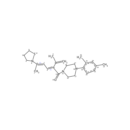 C=C(C)/C(=C\C=C(/C)N1CCCS1)C(=O)N1CCN(c2ccc(C)cc2C)CC1